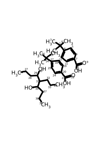 CC(C)(C)c1ccc(C(=O)O)cc1.CC(C)(C)c1ccc(C(=O)O)cc1.CCCC(O)C(CCC)C(O)CCC